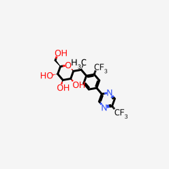 C[C@H](c1ccc(-c2cnc(C(F)(F)F)cn2)cc1C(F)(F)F)[C@H]1O[C@H](CO)[C@@H](O)[C@H](O)[C@@H]1O